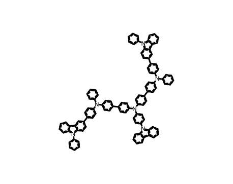 c1ccc(N(c2ccc(-c3ccc(N(c4ccc(-c5ccc(N(c6ccccc6)c6ccc(-c7ccc8c(c7)c7ccccc7n8-c7ccccc7)cc6)cc5)cc4)c4ccc(-n5c6ccccc6c6ccccc65)cc4)cc3)cc2)c2ccc(-c3ccc4c(c3)c3ccccc3n4-c3ccccc3)cc2)cc1